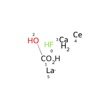 F.O=C(O)O.[CaH2].[Ce].[La]